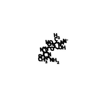 COc1nc(N)nc2c1ncn2C(C)O[C@H](CO)[C@@H](O)C(C)N=[N+]=[N-]